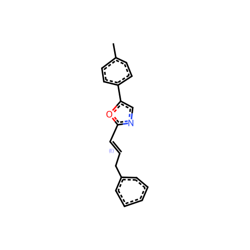 Cc1ccc(-c2cnc(/C=C/Cc3ccccc3)o2)cc1